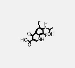 CC(O)Nc1c(F)cc2c(=O)c(C(=O)O)c[nH]c2c1F